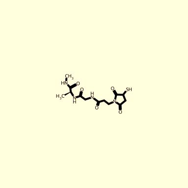 CNC(=O)[C@H](C)NC(=O)CNC(=O)CCN1C(=O)CC(S)C1=O